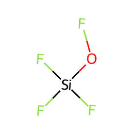 FO[Si](F)(F)F